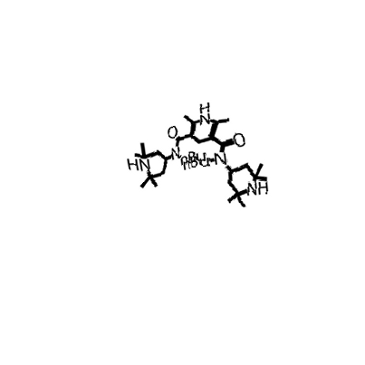 CCCCN(C(=O)C1=C(C)NC(C)=C(C(=O)N(CCCC)C2CC(C)(C)NC(C)(C)C2)C1)C1CC(C)(C)NC(C)(C)C1